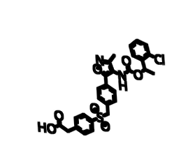 Cc1noc(-c2ccc(CS(=O)(=O)c3ccc(CC(=O)O)cc3)cc2)c1NC(=O)OC(C)c1ccccc1Cl